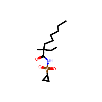 CCCCCCC(C)(CC)C(=O)NS(=O)(=O)C1CC1